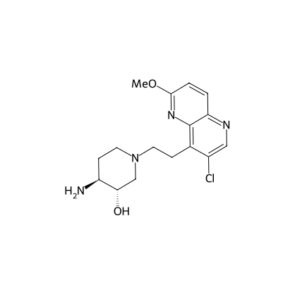 COc1ccc2ncc(Cl)c(CCN3CC[C@H](N)[C@@H](O)C3)c2n1